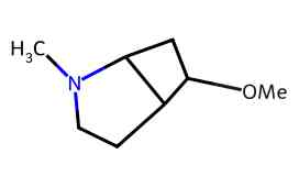 COC1CC2C1CCN2C